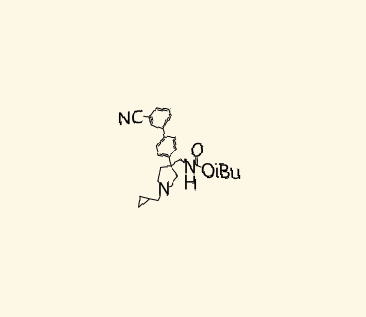 CC(C)COC(=O)NCC1(c2ccc(-c3cccc(C#N)c3)cc2)CCN(CC2CC2)CC1